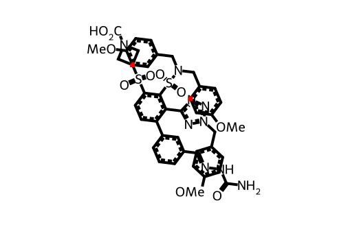 COc1ccc(CN(Cc2ccc(OC)cc2)S(=O)(=O)c2c(S(=O)(=O)C3CN(C(=O)O)C3)ccc(-c3cccc(C=NNC(N)=O)c3)c2-c2nnn(Cc3ccc(OC)cc3)n2)cc1